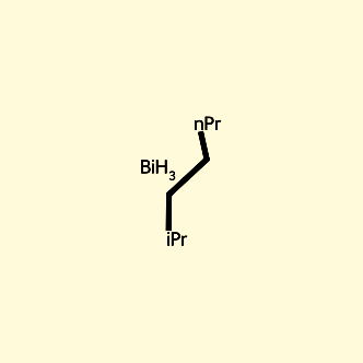 [BiH3].[CH2]CCCCC(C)C